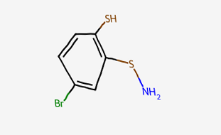 NSc1cc(Br)ccc1S